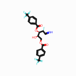 N=C[C@@H](F)[C@H](OC(=O)c1ccc(C(F)(F)F)cc1)[C@H](O)COC(=O)c1ccc(C(F)(F)F)cc1